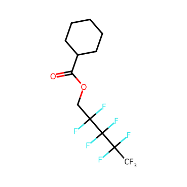 O=C(OCC(F)(F)C(F)(F)C(F)(F)C(F)(F)F)C1CCCCC1